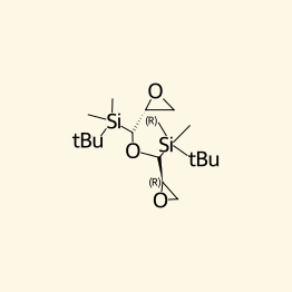 CC(C)(C)[Si](C)(C)C(OC([C@H]1CO1)[Si](C)(C)C(C)(C)C)[C@H]1CO1